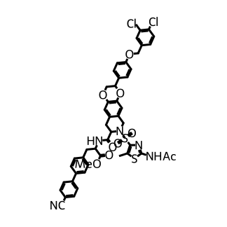 COC(=O)C(Cc1ccc(-c2ccc(C#N)cc2)cc1)NC(=O)C1Cc2cc3c(cc2CN1S(=O)(=O)c1nc(NC(C)=O)sc1C)OC(c1ccc(OCc2ccc(Cl)c(Cl)c2)cc1)CO3